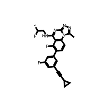 Cc1nnc2nc(NCC(F)F)c3c(F)c(-c4cc(F)cc(C#CC5CC5)c4)ccc3n12